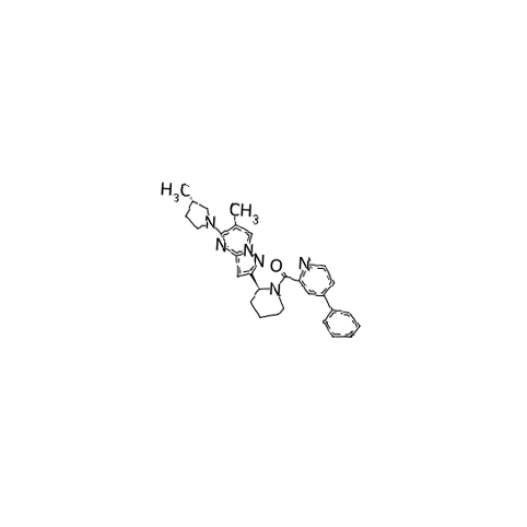 Cc1cn2nc([C@@H]3CCCCN3C(=O)c3cc(-c4ccccc4)ccn3)cc2nc1N1CC[C@H](C)C1